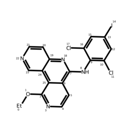 CCOc1nccc2c(Nc3c(Cl)cc(I)cc3Cl)nc3ccncc3c12